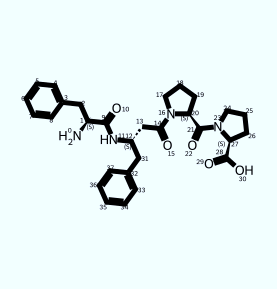 N[C@@H](Cc1ccccc1)C(=O)N[C@H](CC(=O)N1CCC[C@H]1C(=O)N1CCC[C@H]1C(=O)O)Cc1ccccc1